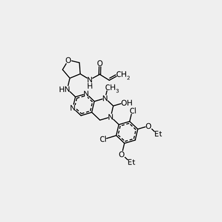 C=CC(=O)NC1COCC1Nc1ncc2c(n1)N(C)C(O)N(c1c(Cl)c(OCC)cc(OCC)c1Cl)C2